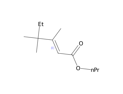 CCCOC(=O)/C=C(\C)C(C)(C)CC